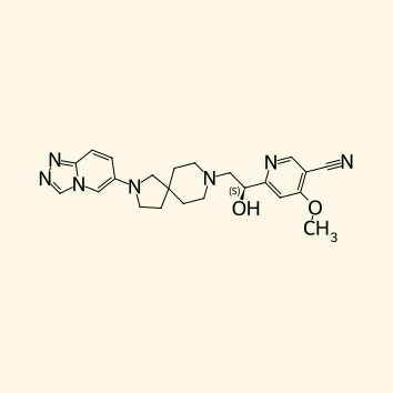 COc1cc([C@@H](O)CN2CCC3(CC2)CCN(c2ccc4nncn4c2)C3)ncc1C#N